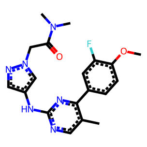 COc1ccc(-c2nc(Nc3cnn(CC(=O)N(C)C)c3)ncc2C)cc1F